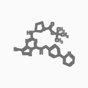 CC(C)(C)OC(=O)N1CC[C@@H](Nc2nc(NCc3ccc(-c4ccccn4)cc3)n3ncc(Br)c3n2)C1